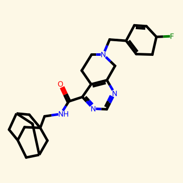 O=C(NCC12CC3CC(CC(C3)C1)C2)c1ncnc2c1CCN(CC1=CCC(F)C=C1)C2